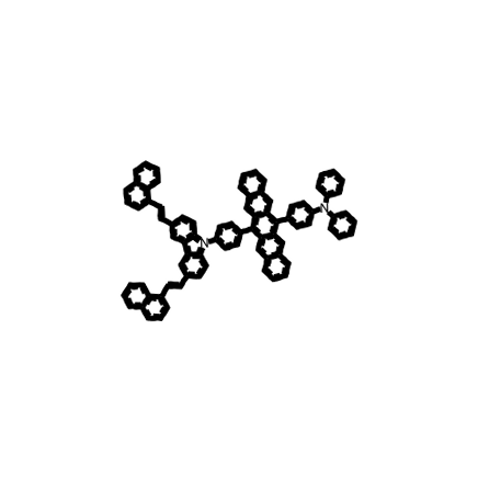 C(=Cc1cccc2ccccc12)c1ccc2c(c1)c1cc(C=Cc3cccc4ccccc34)ccc1n2-c1ccc(-c2c3cc4ccccc4cc3c(-c3ccc(N(c4ccccc4)c4ccccc4)cc3)c3cc4ccccc4cc23)cc1